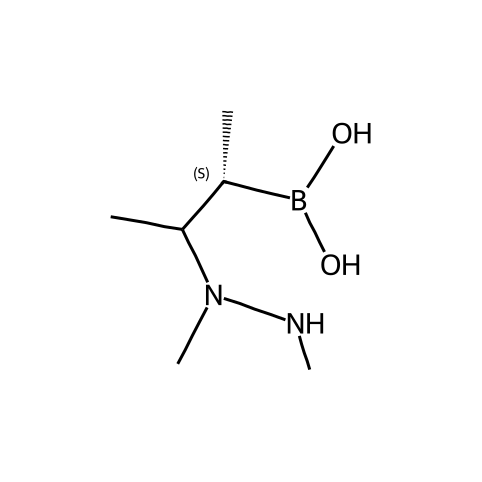 CNN(C)C(C)[C@H](C)B(O)O